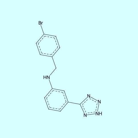 Brc1ccc(CNc2cccc(-c3nn[nH]n3)c2)cc1